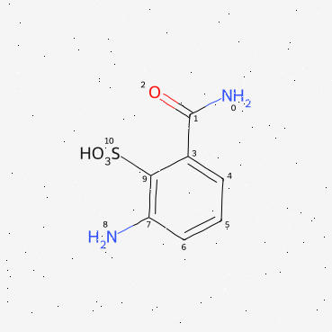 NC(=O)c1cccc(N)c1S(=O)(=O)O